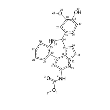 COC(=O)Nc1nc2c3c(ccn3n1)C(c1ccc(O)c(OC)c1)Nc1ccccc1-2